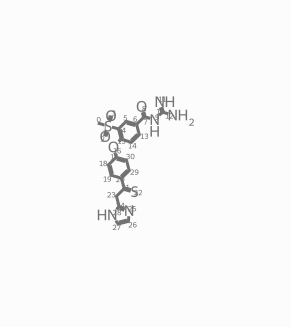 CS(=O)(=O)c1cc(C(=O)NC(=N)N)ccc1Oc1ccc(C(=S)Cc2ncc[nH]2)cc1